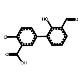 O=Cc1cccc(-c2ccc(Cl)c(C(=O)O)c2)c1O